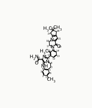 Cc1ccc2c(c1)CCn1c(-c3cccc(N4CCn5c(cc6c5CC(C)(C)C6)C4=O)c3C)nc(C(N)=O)c1N2